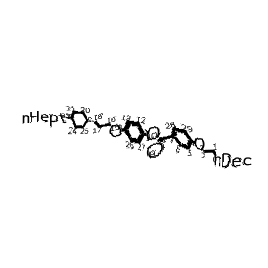 CCCCCCCCCCCCOc1ccc(C(=O)Oc2ccc(OCCC[C@H]3CC[C@H](CCCCCCC)CC3)cc2)cc1